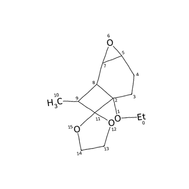 CCOC12CCC3OC3C1C(C)C21OCCO1